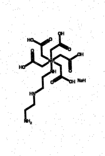 NCCNCC[NH][Mn]([CH2]C(=O)O)([CH2]C(=O)O)([CH2]C(=O)O)([CH2]C(=O)O)[CH2]C(=O)O.[NaH]